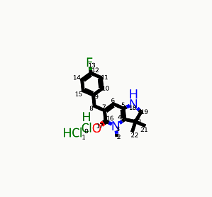 Cl.Cl.Cn1c2c(cc(Cc3ccc(F)cc3)c1=O)NCC2(C)C